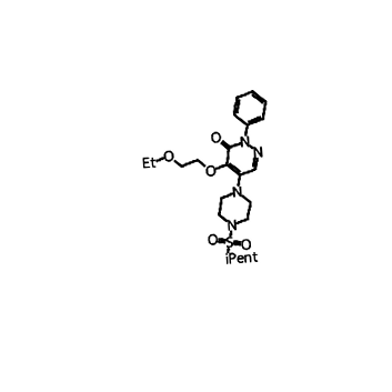 CCCC(C)S(=O)(=O)N1CCN(c2cnn(-c3ccccc3)c(=O)c2OCCOCC)CC1